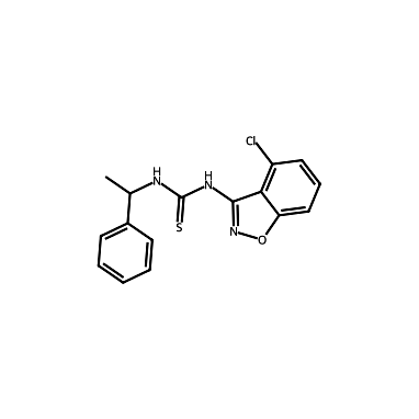 CC(NC(=S)Nc1noc2cccc(Cl)c12)c1ccccc1